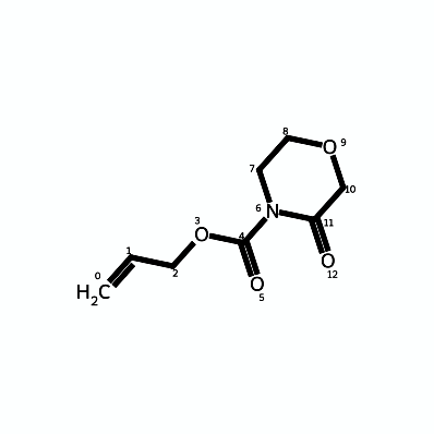 C=CCOC(=O)N1CCOCC1=O